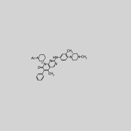 CC(=O)N1CCC[C@H](n2c(=O)c(-c3ccccc3)c(C)c3cnc(Nc4ccc(N5CCN(C)CC5)c(C)c4)nc32)C1